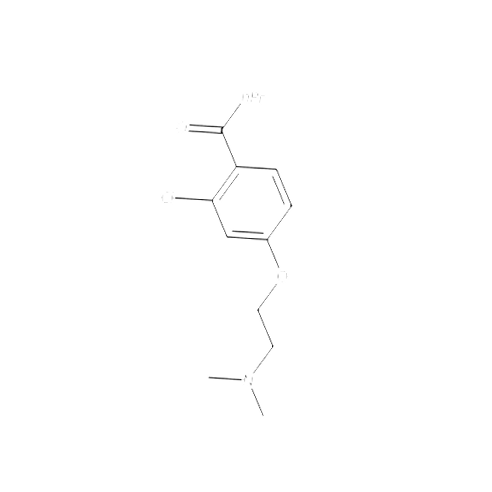 CCCC(=O)c1ccc(OCCN(C)C)cc1Cl